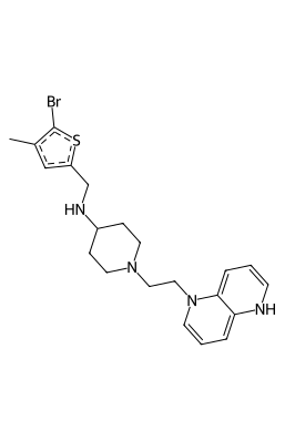 Cc1cc(CNC2CCN(CCN3C=CC=C4NC=CC=C43)CC2)sc1Br